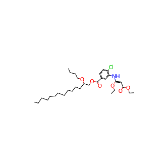 CCCCCCCCCCCCC(COC(=O)c1ccc(Cl)c(N/C(=C/C(=O)OCC)OCC)c1)OCCCC